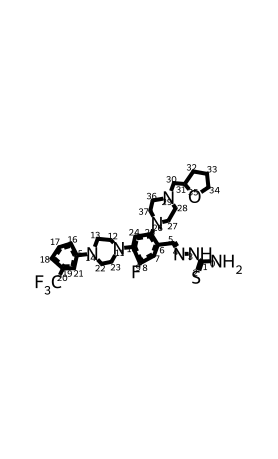 NC(=S)NN=Cc1cc(F)c(N2CCN(c3cccc(C(F)(F)F)c3)CC2)cc1N1CCN(CC2CCCO2)CC1